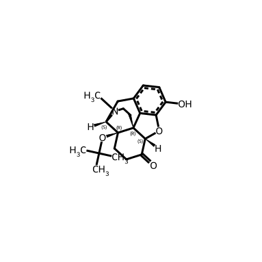 CN1CC[C@@]23c4c5ccc(O)c4O[C@@H]2C(=O)CC[C@]3(OC(C)(C)C)[C@@H]1C5